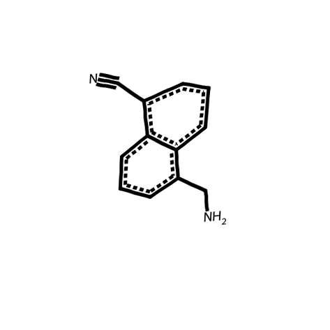 N#Cc1cccc2c(CN)cccc12